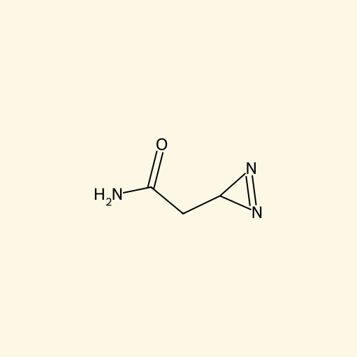 NC(=O)CC1N=N1